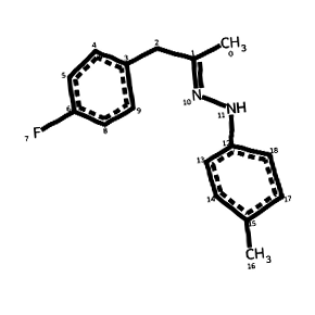 CC(Cc1ccc(F)cc1)=NNc1ccc(C)cc1